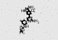 COc1cc(-c2cc(N3C[C@H](C)C[C@@H](NC(=O)OC(C)(C)C)C3)nc(N)n2)cc2[nH]nc(N)c12